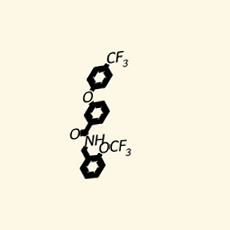 O=C(NCc1ccccc1OC(F)(F)F)c1cccc(Oc2ccc(C(F)(F)F)cc2)c1